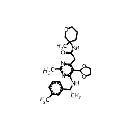 Cc1nc(CC(=O)NC2(C)CCCOC2)c(C2OCCO2)c(N[C@H](C)c2cccc(C(F)(F)F)c2)n1